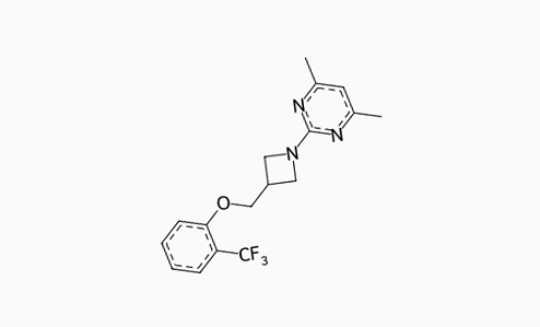 Cc1cc(C)nc(N2CC(COc3ccccc3C(F)(F)F)C2)n1